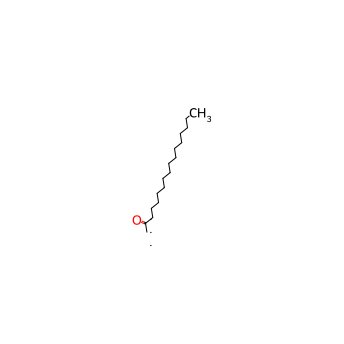 [C]C(=O)CCCCCCCCCCCCCCC